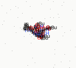 CN(C(=O)OC(C)(C)C)[C@@H]1[C@@H](O)[C@@H](O[C@@H]2[C@@H](O)[C@H](C3OC(CNCCCCNC(=O)OCC4c5ccccc5-c5ccccc54)=CC[C@H]3NC(=O)OC(C)(C)C)[C@@H](NC(=O)OC(C)(C)C)C[C@H]2NC(=O)[C@@H](O)CCNC(=O)OC(C)(C)C)OC[C@]1(C)O